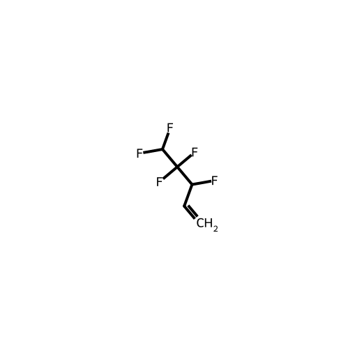 C=CC(F)C(F)(F)C(F)F